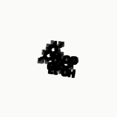 CCC(C)(C)C(=O)O[C@H]1C[C@@H](C)C=C2C=C[C@@H](C)[C@H](CC[C@@H]3C[C@@H](O)CC(=O)O3)[C@H]21